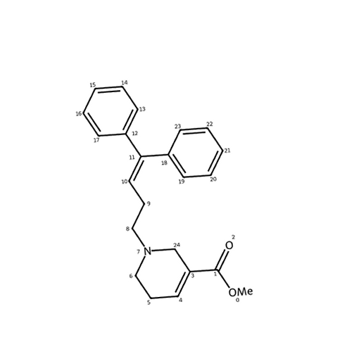 COC(=O)C1=CCCN(CCC=C(c2ccccc2)c2ccccc2)C1